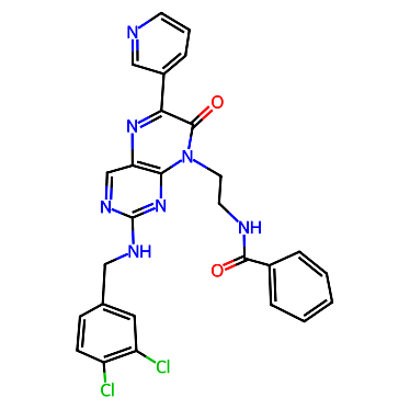 O=C(NCCn1c(=O)c(-c2cccnc2)nc2cnc(NCc3ccc(Cl)c(Cl)c3)nc21)c1ccccc1